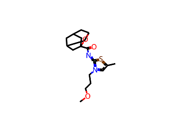 COCCCn1cc(C)s/c1=N\C(=O)C12CC3CC(CC(C3)O1)C2